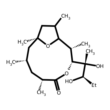 CC[C@@H](O)[C@@](C)(O)[C@@H]1OC(=O)[C@H](C)C[C@H](C)C[C@@]2(C)CC(C)C(O2)[C@@H]1C